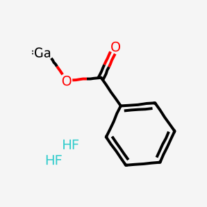 F.F.O=C([O][Ga])c1ccccc1